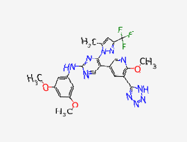 COc1cc(Nc2ncc(-c3cnc(OC)c(-c4nnn[nH]4)c3)c(-n3nc(C(F)(F)F)cc3C)n2)cc(OC)c1